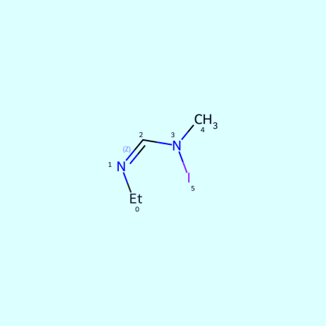 CC/N=C\N(C)I